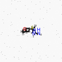 CNCCN(C)Cc1nc(C)sc1[C@H]1CC[C@]2(CC1)CC(C)(C)CO2